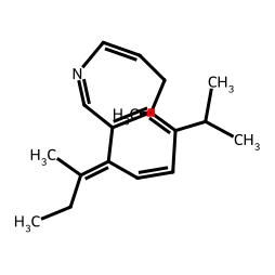 C\C=C(/C=C\C(C1=CCC=CN=C1)=C(\C)CC)C(C)C